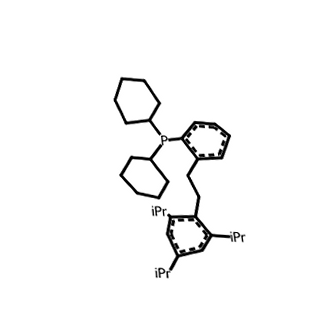 CC(C)c1cc(C(C)C)c(CCc2ccccc2P(C2CCCCC2)C2CCCCC2)c(C(C)C)c1